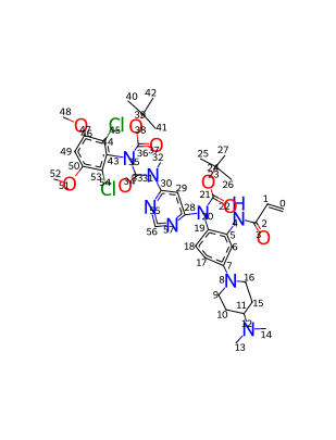 C=CC(=O)Nc1cc(N2CCC(N(C)C)CC2)ccc1N(C(=O)OC(C)(C)C)c1cc(N(C)C(=O)N(C(=O)OC(C)(C)C)c2c(Cl)c(OC)cc(OC)c2Cl)ncn1